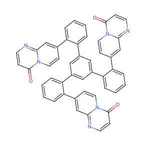 O=c1ccnc2cc(-c3ccccc3-c3cc(-c4ccccc4-c4ccn5c(=O)ccnc5c4)cc(-c4ccccc4-c4ccn5c(=O)ccnc5c4)c3)ccn12